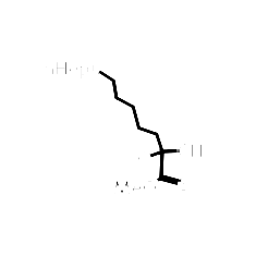 CCCCCCCCCCCCC(C)(C)C(=S)OC